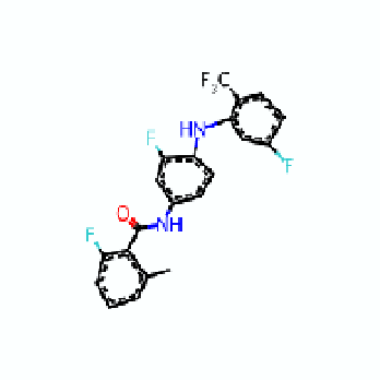 Cc1cccc(F)c1C(=O)Nc1ccc(Nc2cc(F)ccc2C(F)(F)F)c(F)c1